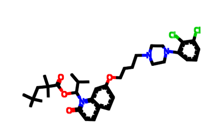 CC(C)C(OC(=O)C(C)(C)CC(C)(C)C)n1c(=O)ccc2ccc(OCCCCN3CCN(c4cccc(Cl)c4Cl)CC3)cc21